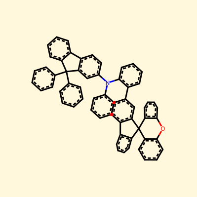 c1ccc(N(c2ccc3c(c2)C(c2ccccc2)(c2ccccc2)c2ccccc2-3)c2ccccc2-c2ccc3c(c2)C2(c4ccccc4Oc4ccccc42)c2ccccc2-3)cc1